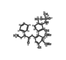 CCc1cc(CC(=O)N(CN)c2ccccc2)c(-c2ccc(O)c(NS(C)(=O)=O)c2O)c(OC)c1OC